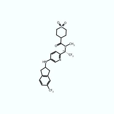 CN(C(=O)C1CCS(=O)(=O)CC1)[C@@H](c1ccc(NC2Cc3ccc(C(F)(F)F)cc3C2)cn1)C(F)(F)F